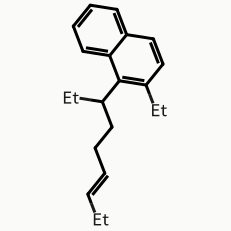 CC/C=C/CCC(CC)c1c(CC)ccc2ccccc12